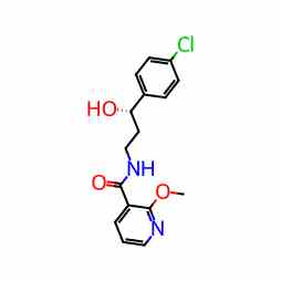 COc1ncccc1C(=O)NCC[C@H](O)c1ccc(Cl)cc1